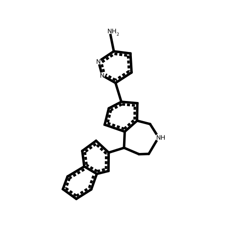 Nc1ccc(-c2ccc3c(c2)CNCCC3c2ccc3ccccc3c2)nn1